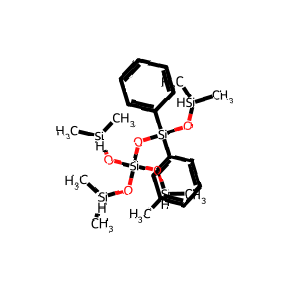 C[SiH](C)O[Si](O[SiH](C)C)(O[SiH](C)C)O[Si](O[SiH](C)C)(c1ccccc1)c1ccccc1